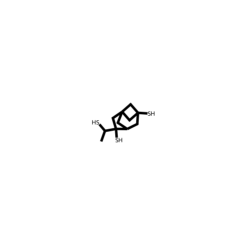 CC(S)C1(S)CC23CC1CC(S)(C2)C3